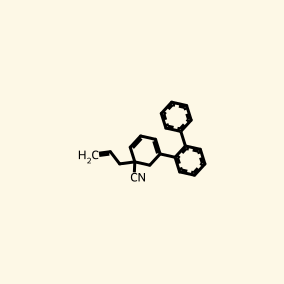 C=CCC1(C#N)C=CC=C(c2ccccc2-c2ccccc2)C1